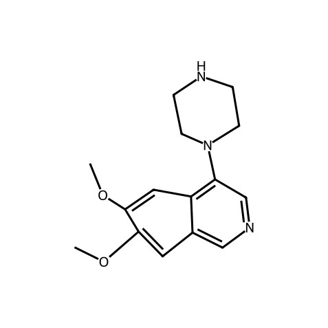 COc1cc2cncc(N3CCNCC3)c2cc1OC